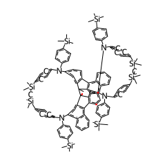 CC12c3cc4ccc3-c3c1cc(c1ccccc31)N(c1ccc([Si](C)(C)C)cc1)c1ccc(cc1)[Si](C)(C)C[Si](C)(C)c1ccc(cc1)N(c1ccc([Si](C)(C)C)cc1)c1ccc3c(c1)C2(C)c1cc(c2ccccc2c1-3)N(c1ccc([Si](C)(C)C)cc1)c1ccc(cc1)[Si](C)(C)C[Si](C)(C)c1ccc(cc1)N4c1ccc([Si](C)(C)C)cc1